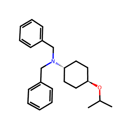 CC(C)O[C@H]1CC[C@H](N(Cc2ccccc2)Cc2ccccc2)CC1